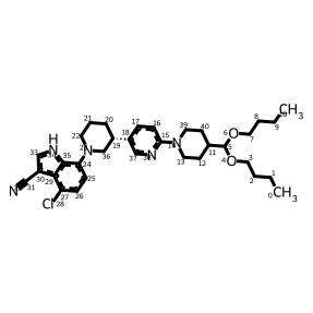 CCCCOC(OCCCC)C1CCN(c2ccc([C@H]3CCCN(c4ccc(Cl)c5c(C#N)c[nH]c45)C3)cn2)CC1